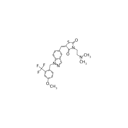 COc1ccc(Cn2ncc3cc(C=C4SC(=O)N(CCN(C)C)C4=O)ccc32)c(C(F)(F)F)c1